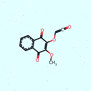 COC1=C(OC=C=O)C(=O)c2ccccc2C1=O